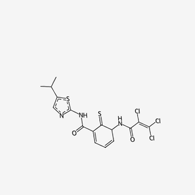 CC(C)c1cnc(NC(=O)C2=CC=CC(NC(=O)C(Cl)=C(Cl)Cl)C2=S)s1